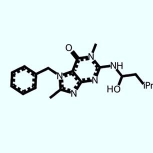 Cc1nc2nc(NC(O)CC(C)C)n(C)c(=O)c2n1Cc1ccccc1